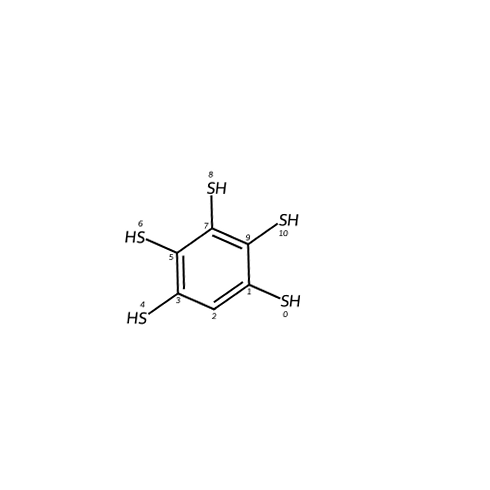 Sc1cc(S)c(S)c(S)c1S